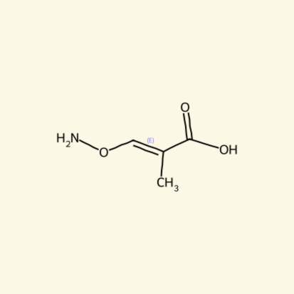 C/C(=C\ON)C(=O)O